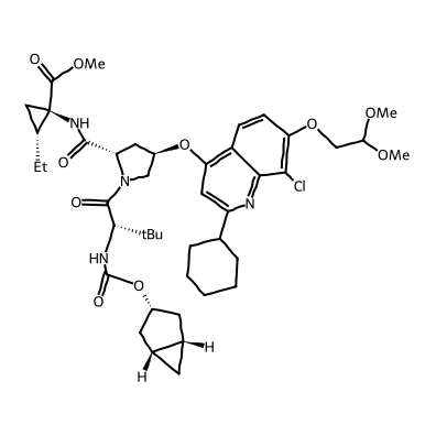 CC[C@@H]1C[C@]1(NC(=O)[C@@H]1C[C@@H](Oc2cc(C3CCCCC3)nc3c(Cl)c(OCC(OC)OC)ccc23)CN1C(=O)[C@@H](NC(=O)O[C@@H]1C[C@@H]2C[C@@H]2C1)C(C)(C)C)C(=O)OC